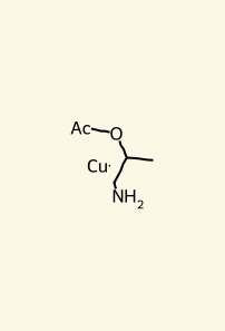 CC(=O)OC(C)CN.[Cu]